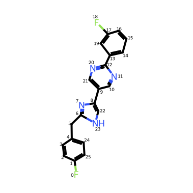 Fc1ccc(Cc2nc(-c3cnc(-c4cccc(F)c4)nc3)c[nH]2)cc1